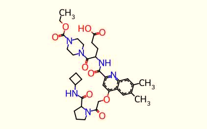 CCOC(=O)N1CCN(C(=O)C(CCC(=O)O)NC(=O)c2cc(OCC(=O)N3CCCC3C(=O)NC3CCC3)c3cc(C)c(C)cc3n2)CC1